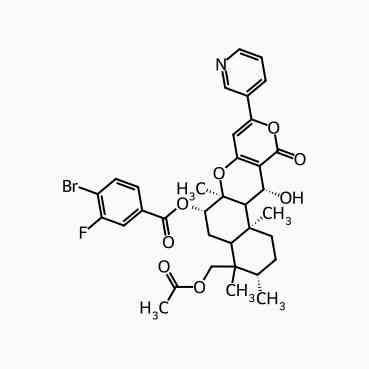 CC(=O)OCC1(C)C2C[C@H](OC(=O)c3ccc(Br)c(F)c3)[C@@]3(C)Oc4cc(-c5cccnc5)oc(=O)c4[C@H](O)C3[C@@]2(C)CC[C@@H]1C